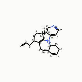 C=CCC1CC[C@H]2C3=C1CC=C1C=CCCC1N3C1=CC=NC[C@@H]12